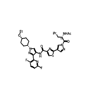 CCO[C@H]1CC[C@H](n2cc(NC(=O)c3csc(-c4cnn(C(=O)[C@H](CC(C)C)NC(C)=O)c4)n3)c(-c3nc(F)ccc3F)n2)CC1